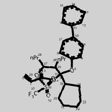 C=CC(=O)OC(Oc1ccc(-c2ccccc2)cc1)(C1CCCCC1)C(CCC)C(CCC)OS(=O)(=O)C(F)(F)F